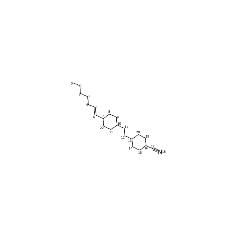 CCCCCC=CC1CCC(CCC2CCC(C#N)CC2)CC1